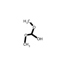 COC(O)OC